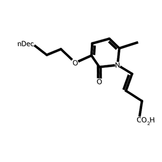 CCCCCCCCCCCCOc1ccc(C)n(C=CCC(=O)O)c1=O